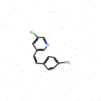 Cc1ccc(/C=C\c2cncc(Br)c2)cc1